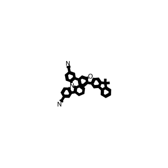 CC1(C)c2ccccc2-c2cc3c(cc21)oc1cc(-c2cc(C#N)ccc2-n2c4c(c5cc(C#N)ccc52)CCC=C4)ccc13